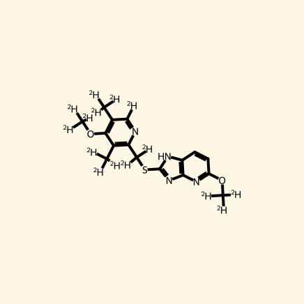 [2H]c1nc(C([2H])([2H])Sc2nc3nc(OC([2H])([2H])[2H])ccc3[nH]2)c(C([2H])([2H])[2H])c(OC([2H])([2H])[2H])c1C([2H])([2H])[2H]